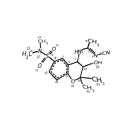 CC(=NC#N)NC1c2cc(S(=O)(=O)N(C)C)ccc2OC(C)(C)C1O